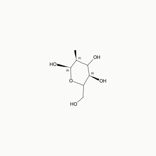 C[C@H]1C(O)[C@@H](O)C(CO)O[C@H]1O